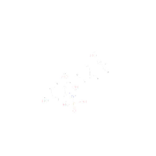 O=P(O)(O)/N=C1\C=C(O)C=CC1C(O)(O)CCc1cccc(O)c1